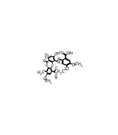 COc1cc(NCc2c(O)cc(C)c3c2Oc2c(C(=O)O)cc(OC)c(C)c2OC3=O)c(C(=O)O)cc1OC